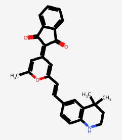 CC1=CC(=C2C(=O)c3ccccc3C2=O)C=C(C=Cc2ccc3c(c2)C(C)(C)CCN3)O1